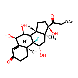 CC(=O)OCC(=O)[C@@]1(O)CC[C@H]2[C@@H]3[C@H](O)[C@H](O)C4=CC(=O)CC[C@]4(C)[C@@]3(F)[C@@H](O)C[C@@]21C